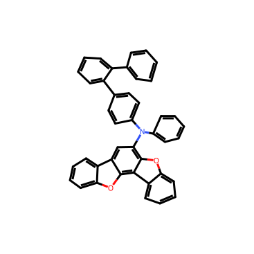 c1ccc(-c2ccccc2-c2ccc(N(c3ccccc3)c3cc4c5ccccc5oc4c4c3oc3ccccc34)cc2)cc1